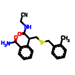 Cc1ccccc1CSCC(C(=O)NCC#N)c1ccccc1C(N)=O